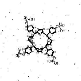 O=[PH](O)Oc1ccc(-c2c3nc(c(-c4ccc(O[PH](=O)O)cc4)c4ccc([nH]4)c(-c4ccc(O[PH](=O)O)cc4)c4nc(c(-c5ccc(OP(O)O)cc5)c5ccc2[nH]5)C=C4)C=C3)cc1